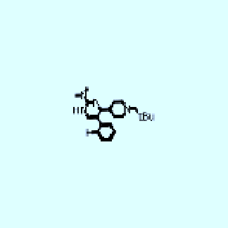 CN(C)C1N=C(C2CCN(CC(C)(C)C)CC2)C(c2ccccc2F)=CN1